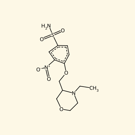 CCN1CCOCC1COc1ccc(S(N)(=O)=O)cc1[N+](=O)[O-]